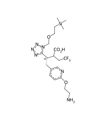 C[Si](C)(C)CCOCn1nnnc1[C@@H](Cc1ccc(OCCN)nc1)C(CC(F)(F)F)C(=O)O